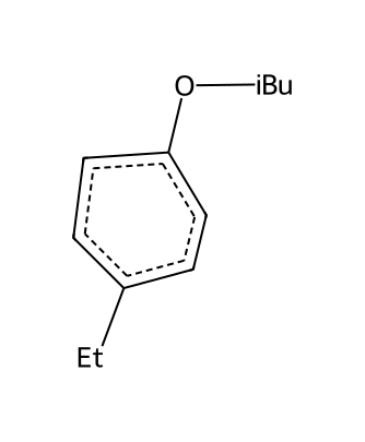 CCc1ccc(OC(C)CC)cc1